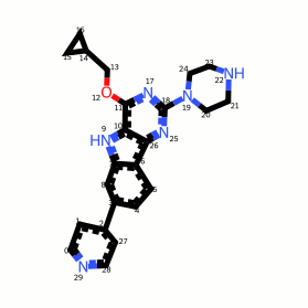 c1cc(-c2ccc3c(c2)[nH]c2c(OCC4CC4)nc(N4CCNCC4)nc23)ccn1